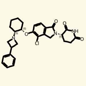 O=C1CC[C@H](N2Cc3c(ccc(O[C@H]4CCCC[C@@H]4N4CC(c5ccccc5)C4)c3Cl)C2=O)C(=O)N1